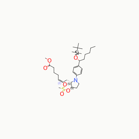 CCCCCC(O[Si](C)(C)C(C)(C)C)c1ccc(N2CC[C@H](OS(C)(=O)=O)[C@@H]2C/C=C\CCCC(=O)OC)cc1